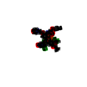 CC(C)(C)OC(=O)CN(Cc1cc(C(=O)O[C@@H](Cc2c(Cl)c[n+]([O-])cc2Cl)c2ccc(OC(F)F)c(OCC3CC3)c2)ccc1OCCN1CCOCC1)[SH](=O)=O